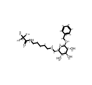 O=C(NCCCCCOC[C@H]1O[C@@H](OCc2ccccc2)[C@H](O)[C@@H](O)[C@@H]1O)C(F)(F)F